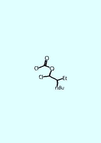 CCCCC(CC)C(Cl)OC(=O)Cl